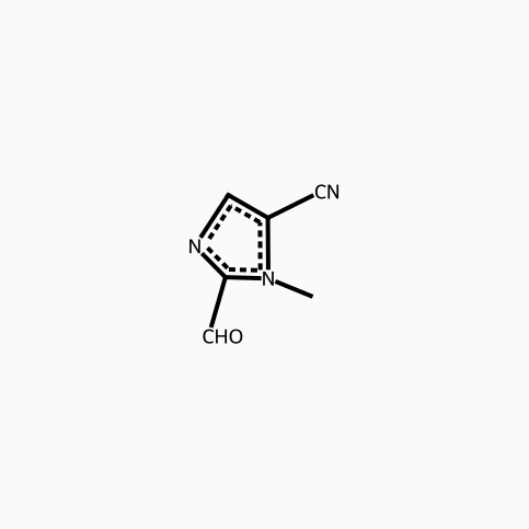 Cn1c(C#N)cnc1C=O